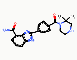 CC1(C)CNCCN1C(=O)c1ccc(-c2nc3c(C(N)=O)cccc3[nH]2)cc1